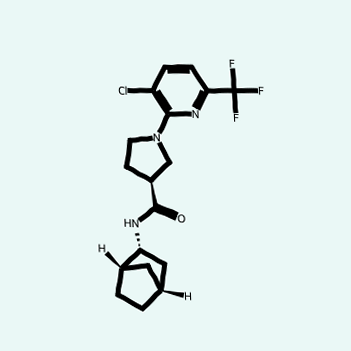 O=C(N[C@@H]1C[C@@H]2CC[C@H]1C2)[C@H]1CCN(c2nc(C(F)(F)F)ccc2Cl)C1